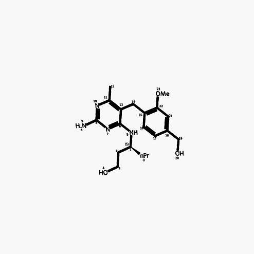 CCC[C@@H](CCO)Nc1nc(N)nc(C)c1Cc1ccc(CO)cc1OC